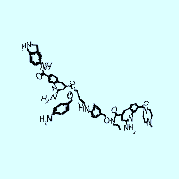 CCCN(OCc1ccc(NCCCN(OCc2ccc(N)cc2)C(=O)C2=Cc3ccc(C(=O)Nc4ccc5c(c4)CNC5)cc3N=C(N)C2)cc1)C(=O)C1=Cc2ccc(C(=O)N3CCN(C)CC3)cc2N=C(N)C1